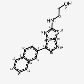 OCCNc1nn2c(-c3ccc4ccccc4c3)cnc2s1